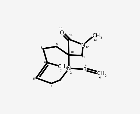 C=BN1CC/C=C(\C)CCC12CN(C)C2=O